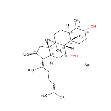 CC(=O)O[C@H]1C[C@@]2(C)[C@@H](C[C@@H](O)[C@H]3[C@@]4(C)CC[C@@H](O)[C@@H](C)[C@@H]4CC[C@@]32C)/C1=C(\CCC=C(C)C)C(=O)O.[Ag]